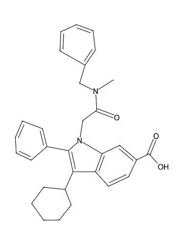 CN(Cc1ccccc1)C(=O)Cn1c(-c2ccccc2)c(C2CCCCC2)c2ccc(C(=O)O)cc21